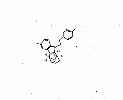 Cc1ccc2c(c1)[C@H]1[C@H]([C@H]3CCC[C@@H]1N3C)N2CCc1ccc(C)nc1